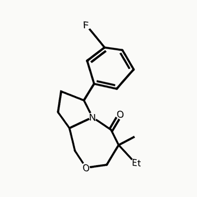 CCC1(C)COCC2CCC(c3cccc(F)c3)N2C1=O